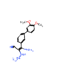 COc1ccc(-c2cccc(/C(N)=C(\C#N)NN)c2)cc1OC